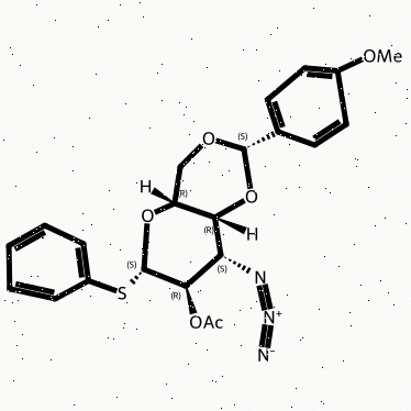 COc1ccc([C@H]2OC[C@H]3O[C@@H](Sc4ccccc4)[C@H](OC(C)=O)[C@@H](N=[N+]=[N-])[C@H]3O2)cc1